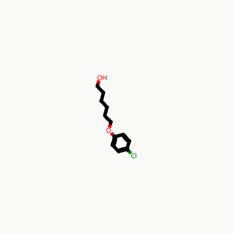 OCCCCCCOc1ccc(Cl)cc1